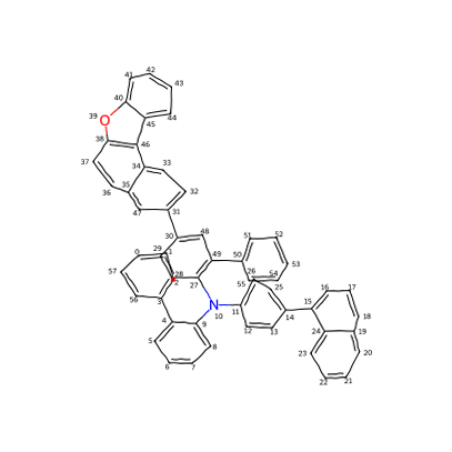 c1ccc(-c2ccccc2N(c2ccc(-c3cccc4ccccc34)cc2)c2ccc(-c3ccc4c(ccc5oc6ccccc6c54)c3)cc2-c2ccccc2)cc1